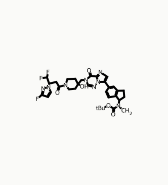 CN(C(=O)OC(C)(C)C)C1CCc2cc(-c3cnc4c(=O)n(CC5(O)CCN(C(=O)CC(C(F)F)n6ccc(F)n6)CC5)cnn34)ccc21